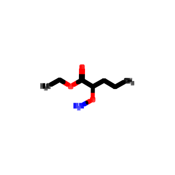 CCCC(ON)C(=O)OCC